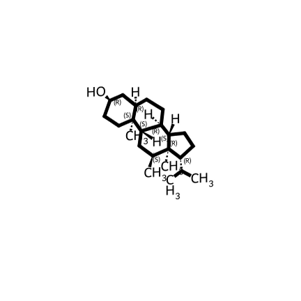 CC(C)[C@H]1CC[C@H]2[C@@H]3CC[C@@H]4C[C@H](O)CC[C@]4(C)[C@H]3C[C@H](C)[C@]12C